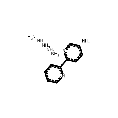 N.N.N.N.N.N.c1ccc(-c2ccccn2)nc1